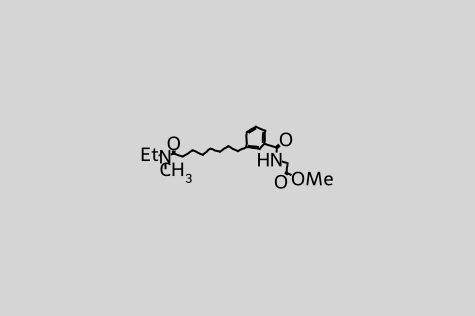 CCN(C)C(=O)CCCCCCCc1cccc(C(=O)NCC(=O)OC)c1